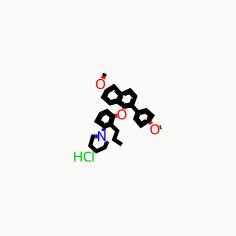 CCCc1c(Oc2c(-c3ccc(OC)cc3)ccc3cc(OC)ccc23)cccc1N1CCCCC1.Cl